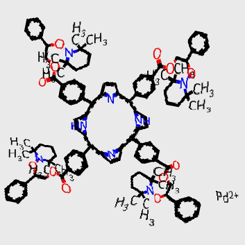 CC1(C)CCCC(C)(C)N1OC(COC(=O)c1ccc(-c2c3nc(c(-c4ccc(C(=O)OCC(ON5C(C)(C)CCCC5(C)C)c5ccccc5)cc4)c4ccc([nH]4)c(-c4ccc(C(=O)OCC(ON5C(C)(C)CCCC5(C)C)c5ccccc5)cc4)c4nc(c(-c5ccc(C(=O)OCC(ON6C(C)(C)CCCC6(C)C)c6ccccc6)cc5)c5ccc2[nH]5)C=C4)C=C3)cc1)c1ccccc1.[Pd+2]